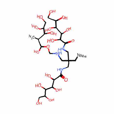 CNCC(CNCOC(O)C(C)C(O)C(O)CO)(CNC(=O)C(O)C(O)C(O)C(O)CO)CNC(=O)C(O)C(O)C(O)C(O)CO